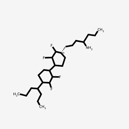 CCCC(N)CCC[C@@H]1CCC(C2CCC(C(CCC)CCC)C(F)C2F)C(F)C1F